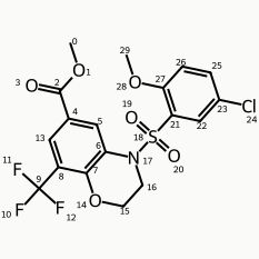 COC(=O)c1cc2c(c(C(F)(F)F)c1)OCCN2S(=O)(=O)c1cc(Cl)ccc1OC